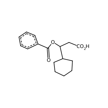 O=C(O)CC(OC(=O)c1ccccc1)C1CCCCC1